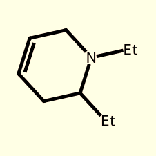 CCC1CC=CCN1CC